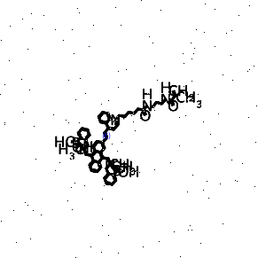 C=C(C)C(=O)NCCCNC(=O)CCCCC[n+]1ccc(/C=C/c2ccc3c(CN(C)Cc4ccccc4B(O)O)c4ccccc4c(CN(C)Cc4ccccc4B(O)O)c3c2)c2ccccc21